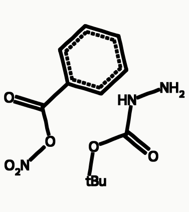 CC(C)(C)OC(=O)NN.O=C(O[N+](=O)[O-])c1ccccc1